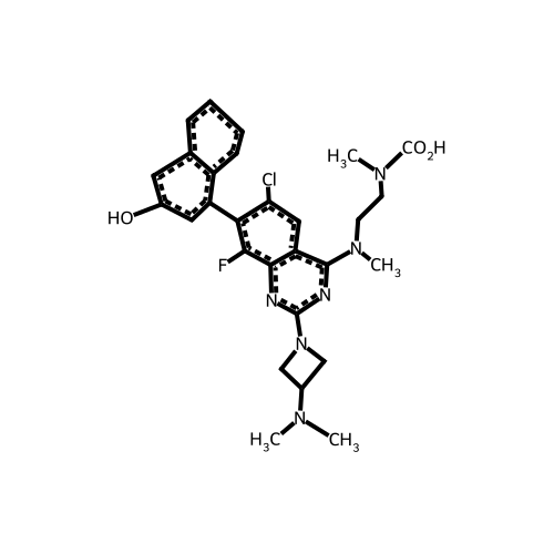 CN(CCN(C)c1nc(N2CC(N(C)C)C2)nc2c(F)c(-c3cc(O)cc4ccccc34)c(Cl)cc12)C(=O)O